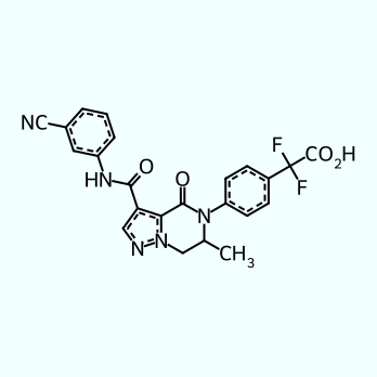 CC1Cn2ncc(C(=O)Nc3cccc(C#N)c3)c2C(=O)N1c1ccc(C(F)(F)C(=O)O)cc1